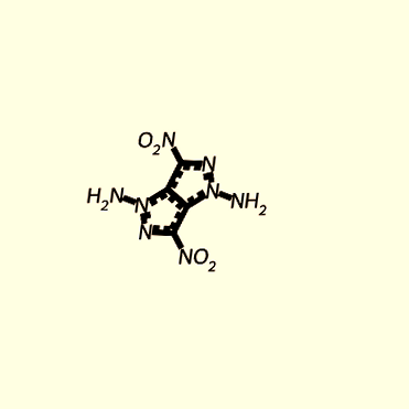 Nn1nc([N+](=O)[O-])c2c1c([N+](=O)[O-])nn2N